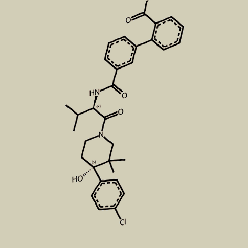 COC(=O)c1ccccc1-c1cccc(C(=O)N[C@@H](C(=O)N2CC[C@](O)(c3ccc(Cl)cc3)C(C)(C)C2)C(C)C)c1